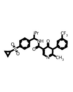 CC1=NC=C(C(=O)NC(c2ccc(S(=O)(=O)C3CC3)cc2)C(C)C)C(=O)C1c1cccc(C(F)(F)F)c1